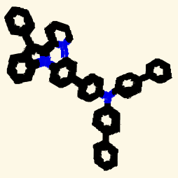 C1=CCNC(c2c(-c3ccccc3)c3ccccc3n2-c2ccc(-c3ccc(N(c4ccc(-c5ccccc5)cc4)c4ccc(-c5ccccc5)cc4)cc3)cc2)=C1